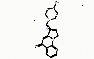 CCN1CCN(/C=C2\CCn3c2nc(=O)c2ccccc23)CC1